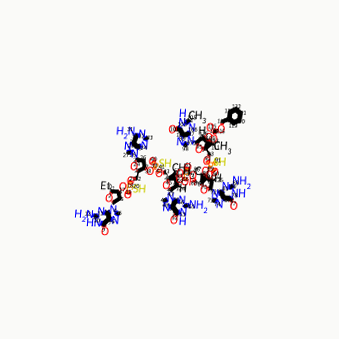 CC[C@H]1O[C@@H](n2cnc3c(=O)[nH]c(N)nc32)CC1OP(=O)(S)OC[C@H]1O[C@@H](n2cnc3c(N)ncnc32)CC1OP(=O)(S)OC[C@]12O[C@@H](n3cnc4c(=O)[nH]c(N)nc43)[C@@H](O[C@H]1C)C2OP(=O)(O)OC[C@]12O[C@@H](n3cnc4c(=O)[nH]c(N)nc43)[C@@H](O[C@H]1C)C2OP(=O)(S)OC[C@]12O[C@@H](n3cnc4c(=O)[nH]c(C)nc43)[C@@H](O[C@H]1C)C2OC(=O)OCc1ccccc1